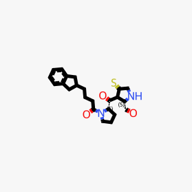 O=C[C@H]1NCC(=S)C1C(=O)[C@@H]1CCCN1C(=O)CCCC1Cc2ccccc2C1